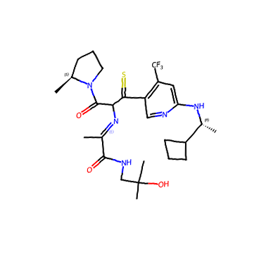 C/C(=N\C(C(=O)N1CCC[C@@H]1C)C(=S)c1cnc(N[C@H](C)C2CCC2)cc1C(F)(F)F)C(=O)NCC(C)(C)O